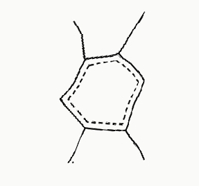 [CH2]c1cc(C)c(C)cc1C